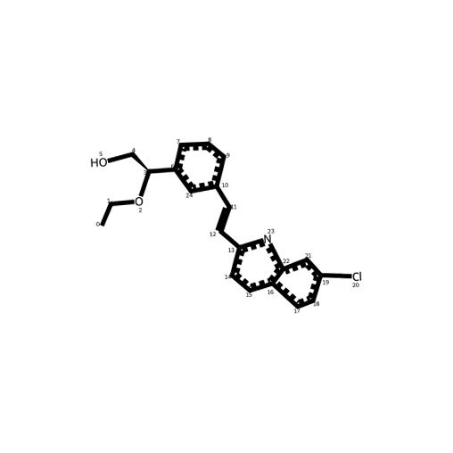 CCO[C@@H](CO)c1cccc(C=Cc2ccc3ccc(Cl)cc3n2)c1